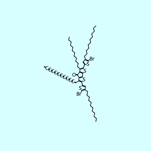 C=C=C=C=C=C=C=C=C=C=C=Cc1c(-c2cc(CCCCCCCCCCCC)c(Br)s2)sc2c1C(=O)c1c-2sc(-c2cc(CCCCCCCCCCCC)c(Br)s2)c1CCCCCCCCCCCC